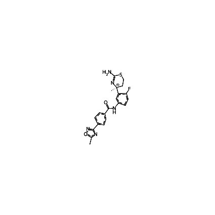 Cc1nc(-c2ccc(C(=O)Nc3ccc(F)c([C@]4(C)CCSC(N)=N4)c3)cc2)no1